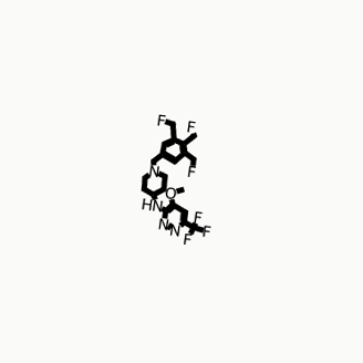 COc1cc(C(F)(F)F)nnc1NC1CCN(Cc2cc(CF)c(CF)c(CF)c2)CC1